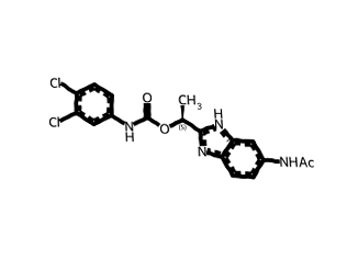 CC(=O)Nc1ccc2nc([C@H](C)OC(=O)Nc3ccc(Cl)c(Cl)c3)[nH]c2c1